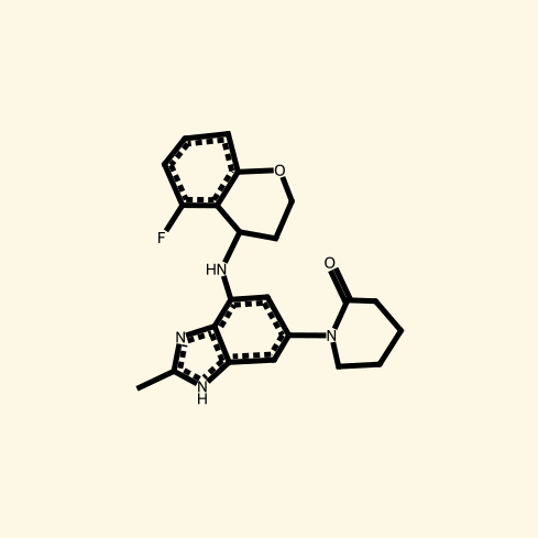 Cc1nc2c(NC3CCOc4cccc(F)c43)cc(N3CCCCC3=O)cc2[nH]1